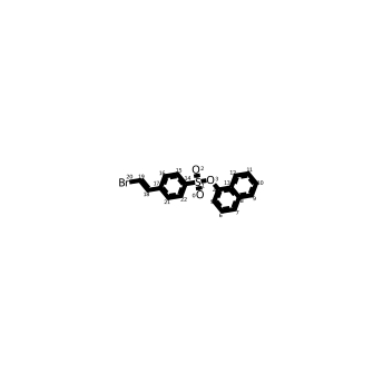 O=S(=O)(Oc1cccc2ccccc12)c1ccc(C=CBr)cc1